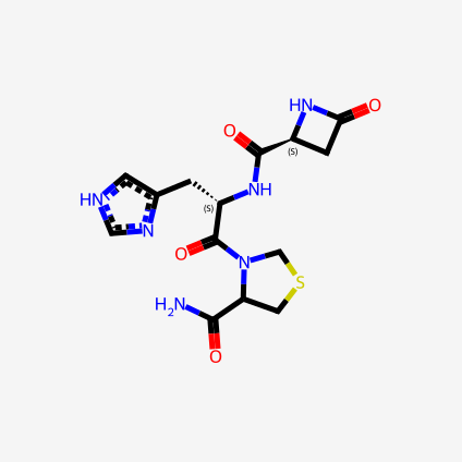 NC(=O)C1CSCN1C(=O)[C@H](Cc1c[nH]cn1)NC(=O)[C@@H]1CC(=O)N1